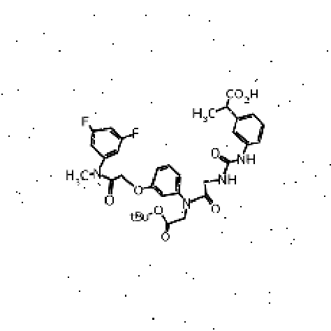 CC(C(=O)O)c1cccc(NC(=O)NCC(=O)N(CC(=O)OC(C)(C)C)c2cccc(OCC(=O)N(C)c3cc(F)cc(F)c3)c2)c1